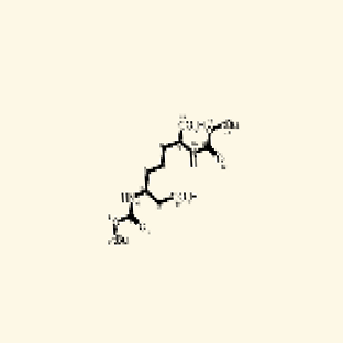 CC(C)(C)OC(=O)NC(CCCC(NC(=O)OC(C)(C)C)C(=O)O)CC(=O)O